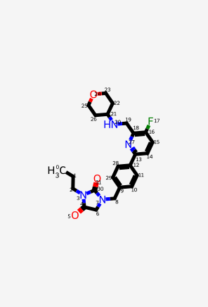 CCCN1C(=O)CN(Cc2ccc(-c3ccc(F)c(CNC4CCOCC4)n3)cc2)C1=O